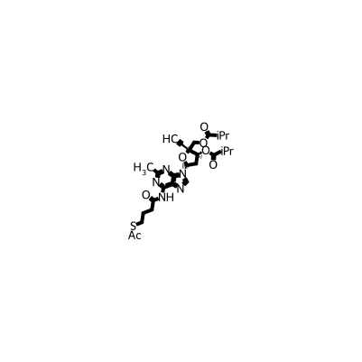 C#C[C@]1(COC(=O)C(C)C)O[C@@H](n2cnc3c(NC(=O)CCCSC(C)=O)nc(C)nc32)C[C@@H]1OC(=O)C(C)C